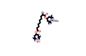 CCC(CCCCCCCC(=O)OC1CC(C)(C)N(O)C(C)(C)C1)C(=O)OC1CC(C)(C)N(OC)C(C)(C)C1